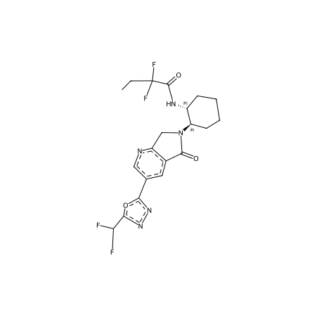 CCC(F)(F)C(=O)N[C@@H]1CCCC[C@H]1N1Cc2ncc(-c3nnc(C(F)F)o3)cc2C1=O